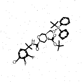 CC(C)(C)OC(=O)N1C[C@@H](C(=O)NC(C)(C)c2ccc(Cl)c(F)c2F)OC[C@H]1CO[Si](c1ccccc1)(c1ccccc1)C(C)(C)C